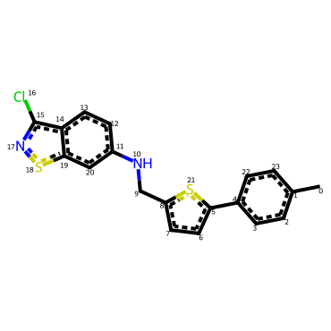 Cc1ccc(-c2ccc(CNc3ccc4c(Cl)nsc4c3)s2)cc1